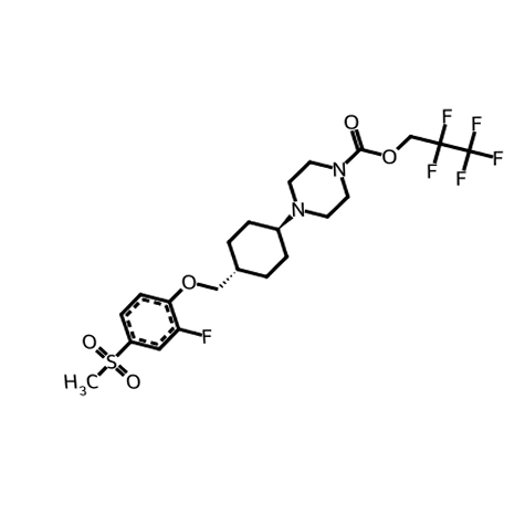 CS(=O)(=O)c1ccc(OC[C@H]2CC[C@H](N3CCN(C(=O)OCC(F)(F)C(F)(F)F)CC3)CC2)c(F)c1